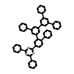 c1ccc(-c2cc(-c3ccccc3)cc(-c3cc(-c4ccccc4)cc(-c4cc(-c5nc(-c6ccccc6)nc(-c6ccccc6)n5)ccc4-c4ccccc4)c3)c2)cc1